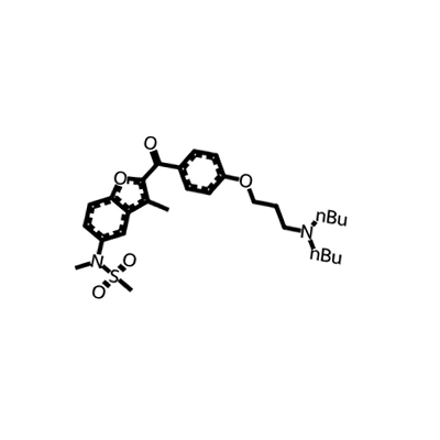 CCCCN(CCCC)CCCOc1ccc(C(=O)c2oc3ccc(N(C)S(C)(=O)=O)cc3c2C)cc1